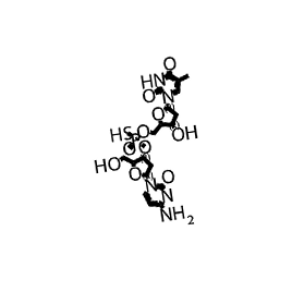 Cc1cn([C@H]2C[C@@H](O)C(COP(=O)(S)O[C@@H]3C[C@H](n4ccc(N)nc4=O)OC3CO)O2)c(=O)[nH]c1=O